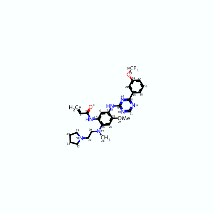 C=CC(=O)Nc1cc(Nc2ncnc(-c3cccc(OC(F)(F)F)c3)n2)c(OC)cc1N(C)CCN1CCCC1